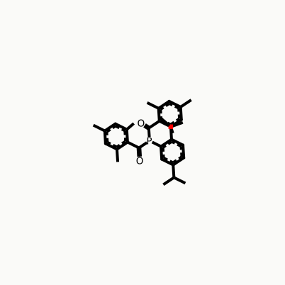 Cc1cc(C)c(C(=O)P(C(=O)c2c(C)cc(C)cc2C)c2cc(C(C)C)ccc2C(C)C)c(C)c1